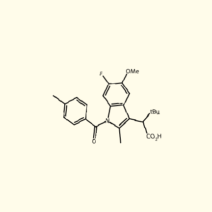 COc1cc2c(C(C(=O)O)C(C)(C)C)c(C)n(C(=O)c3ccc(C)cc3)c2cc1F